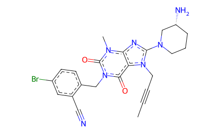 CC#CCn1c(N2CCC[C@@H](N)C2)nc2c1c(=O)n(Cc1ccc(Br)cc1C#N)c(=O)n2C